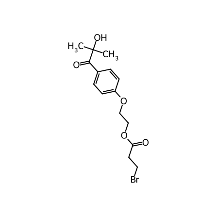 CC(C)(O)C(=O)c1ccc(OCCOC(=O)CCBr)cc1